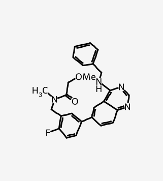 COCC(=O)N(C)Cc1cc(-c2ccc3ncnc(NCc4ccccc4)c3c2)ccc1F